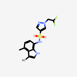 Cc1ccc(NS(=O)(=O)c2cnn(CC(F)F)c2)c2[nH]cc(C#N)c12